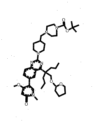 CCCC(CCC)(COC1CCCCO1)c1nc(N2CCC(CN3CCN(C(=O)OC(C)(C)C)CC3)CC2)nc2ccc(-c3cn(C)c(=O)cc3OC)cc12